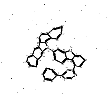 c1ccc(-c2ncnc(-c3cccc4oc5cc(-n6c7cc8ccccc8cc7c7ccc8ccccc8c76)ccc5c34)n2)cc1